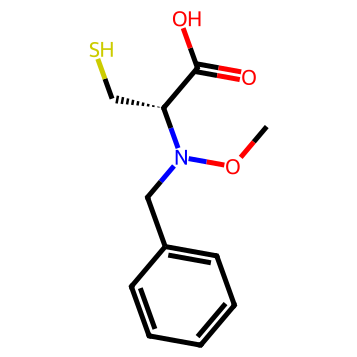 CON(Cc1ccccc1)[C@H](CS)C(=O)O